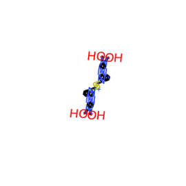 OCCN(CCO)c1ccc(/N=N/c2cc[n+](CCSSCC[n+]3ccc(/N=N/c4ccc(N(CCO)CCO)cc4)c4ccccc43)c3ccccc23)cc1